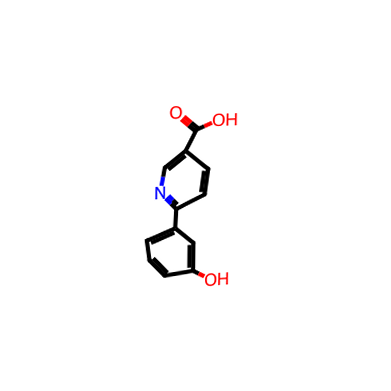 O=C(O)c1ccc(-c2cccc(O)c2)nc1